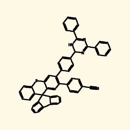 N#Cc1ccc(-c2cc3c(cc2-c2ccc(C4N=C(c5ccccc5)N=C(c5ccccc5)N4)cc2)Sc2ccccc2C32c3ccccc3-c3ccccc32)cc1